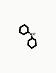 C1CCC([AsH]C2CCCCC2)CC1